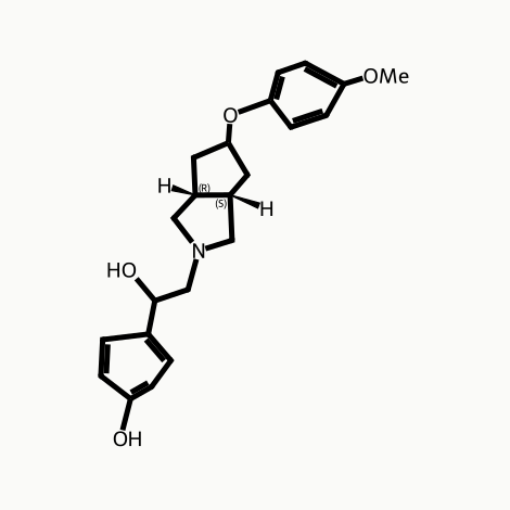 COc1ccc(OC2C[C@@H]3CN(CC(O)c4ccc(O)cc4)C[C@@H]3C2)cc1